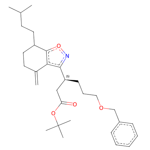 C=C1CCC(CCC(C)C)c2onc([C@@H](CCCOCc3ccccc3)CC(=O)OC(C)(C)C)c21